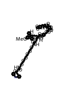 CC[C@@]1(OC(=O)OCc2ccc(NC(=O)[C@H](CCCCNC(c3ccccc3)(c3ccccc3)c3ccc(OC)cc3)NC(=O)COCC(=O)NCCOCCOCCOCCOCCOCCOCCNC(=O)CCC(=O)N3Cc4ccccc4/C=C\c4ccccc43)cc2)C(=O)OCc2c1cc1n(c2=O)Cc2cc3cc4c(cc3nc2-1)OCO4